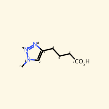 Cn1cc(CCCC(=O)O)nn1